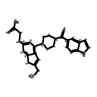 CCc1cc2c(N3CCN(C(=O)c4ccc5[nH]ccc5c4)CC3)nc(SCC(=O)O)nc2s1